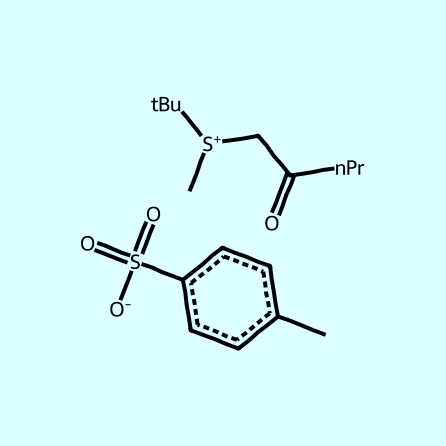 CCCC(=O)C[S+](C)C(C)(C)C.Cc1ccc(S(=O)(=O)[O-])cc1